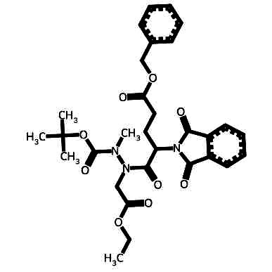 CCOC(=O)CN(C(=O)C(CCC(=O)OCc1ccccc1)N1C(=O)c2ccccc2C1=O)N(C)C(=O)OC(C)(C)C